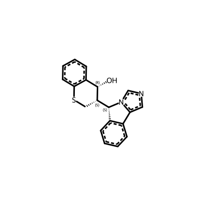 O[C@H]1c2ccccc2SC[C@H]1[C@H]1c2ccccc2-c2cncn21